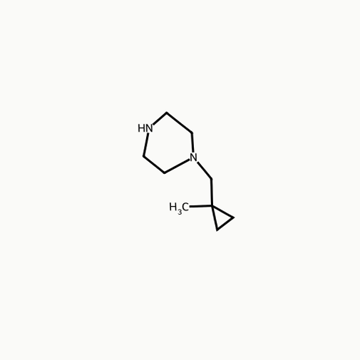 CC1(CN2CCNCC2)CC1